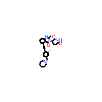 Cc1nc2cccc(C#Cc3ccc(CN4CCCCCC4)cc3F)c2c(=O)n1C1CCC(=O)NC1=O